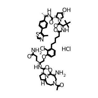 CC(=O)N1CC[C@H]2CC[C@@H](C(=O)N[C@@H](CCC(N)=O)COc3cccc(CCCCC(=O)N[C@H](C(=O)N4C[C@H](O)C[C@H]4C(=O)N[C@@H](C)c4ccc(-c5scnc5C)cc4)C(C)(C)C)c3Cl)N2C(=O)[C@@H](N)C1.Cl